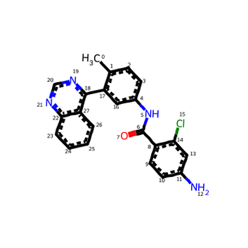 Cc1ccc(NC(=O)c2ccc(N)cc2Cl)cc1-c1ncnc2ccccc12